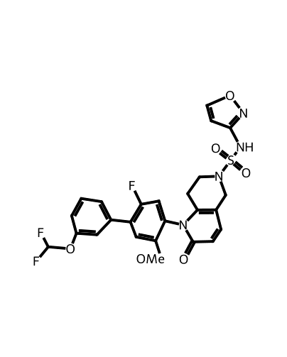 COc1cc(-c2cccc(OC(F)F)c2)c(F)cc1-n1c2c(ccc1=O)CN(S(=O)(=O)Nc1ccon1)CC2